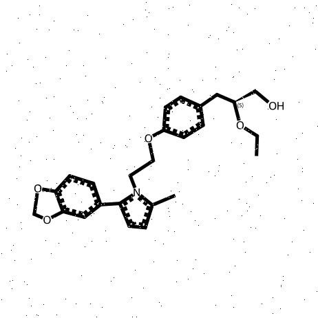 CCO[C@H](CO)Cc1ccc(OCCn2c(C)ccc2-c2ccc3c(c2)OCO3)cc1